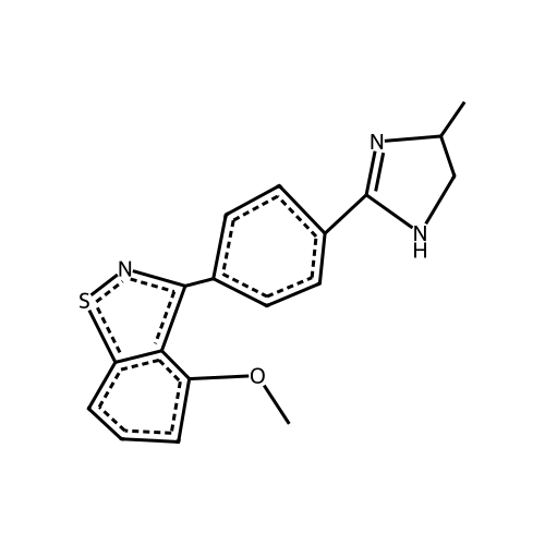 COc1cccc2snc(-c3ccc(C4=NC(C)CN4)cc3)c12